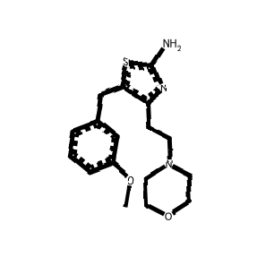 COc1cccc(Cc2sc(N)nc2CCN2CCOCC2)c1